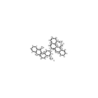 O=c1c2ccccc2oc2ccc3c(C(F)(F)F)cc(-c4cc5cccc(C(F)(F)F)c5c5c(=O)c6ccccc6oc45)cc3c12